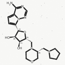 Nc1ncnn2c([C@@H]3O[C@H](CN4CCOC[C@H]4CN4CCCC4)[C@@H](O)[C@H]3O)ccc12